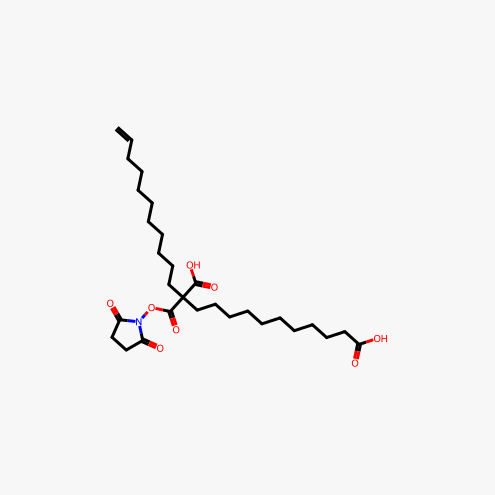 C=CCCCCCCCCCC(CCCCCCCCCCC(=O)O)(C(=O)O)C(=O)ON1C(=O)CCC1=O